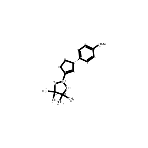 COc1ccc([C@@H]2C=C(B3OC(C)(C)C(C)(C)O3)CC2)cc1